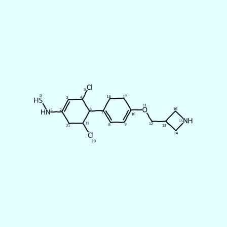 SNC1=CC(Cl)C(C2=CC=C(OCC3CNC3)CC2)C(Cl)C1